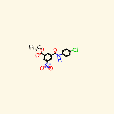 COC(=O)c1cc(C(=O)Nc2ccc(Cl)cc2)cc([N+](=O)[O-])c1